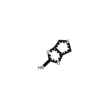 N=c1oc2cscc2o1